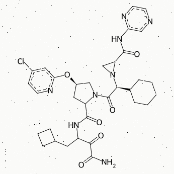 NC(=O)C(=O)C(CC1CCC1)NC(=O)C1C[C@@H](Oc2cc(Cl)ccn2)CN1C(=O)[C@H](C1CCCCC1)N1CC1C(=O)Nc1cnccn1